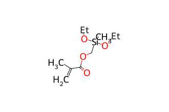 C=C(C)C(=O)OC[Si](C)(OCC)OCC